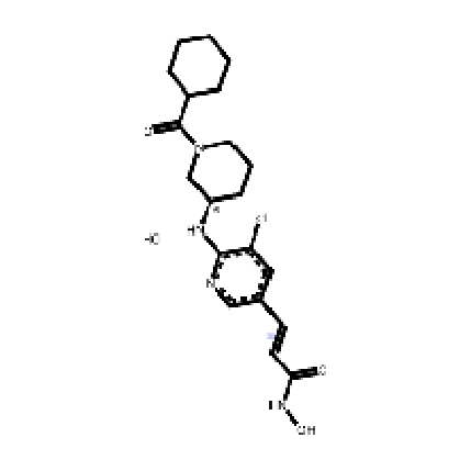 Cl.O=C(/C=C/c1cnc(N[C@@H]2CCCN(C(=O)C3CCCCC3)C2)c(Cl)c1)NO